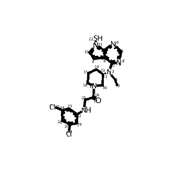 CCN(c1ncnc2c1ccn2S)[C@H]1CCCN(C(=O)CNc2cc(Cl)cc(Cl)c2)C1